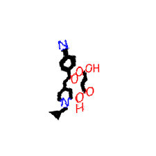 N#Cc1ccc(C(=O)CC2CCN(CC3CC3)CC2)cc1.O=C(O)/C=C/C(=O)O